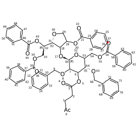 CC(=O)CCC(=O)OC1C(OCc2ccccc2)[C@@H](OC2C(OC(=O)c3ccccc3)CO[C@H]2[C@@H](COC(=O)c2ccccc2)OC(=O)c2ccccc2)OC(COC(=O)c2ccccc2)[C@@H]1OCc1ccccc1